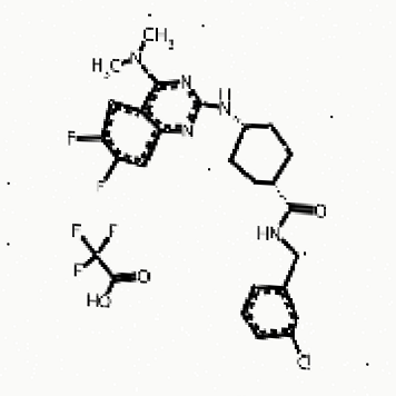 CN(C)c1nc(N[C@H]2CC[C@@H](C(=O)NCc3cccc(Cl)c3)CC2)nc2cc(F)c(F)cc12.O=C(O)C(F)(F)F